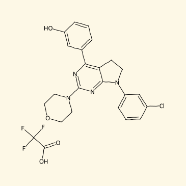 O=C(O)C(F)(F)F.Oc1cccc(-c2nc(N3CCOCC3)nc3c2CCN3c2cccc(Cl)c2)c1